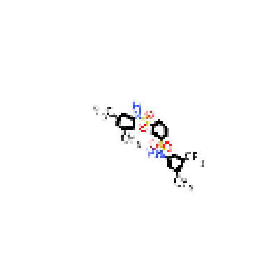 O=S(=O)(Nc1cc(C(F)(F)F)cc(C(F)(F)F)c1)c1cccc(S(=O)(=O)Nc2cc(C(F)(F)F)cc(C(F)(F)F)c2)c1